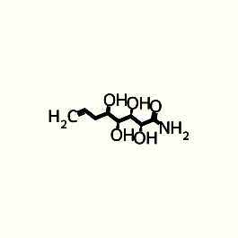 C=CCC(O)[C@H](O)[C@@H](O)[C@H](O)C(N)=O